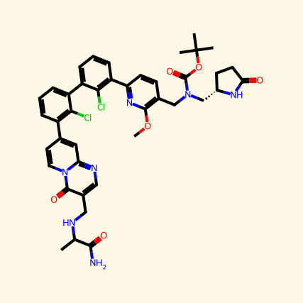 COc1nc(-c2cccc(-c3cccc(-c4ccn5c(=O)c(CNC(C)C(N)=O)cnc5c4)c3Cl)c2Cl)ccc1CN(C[C@@H]1CCC(=O)N1)C(=O)OC(C)(C)C